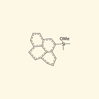 CO[Si](C)(C)c1cc2cccc3ccc4cccc1c4c32